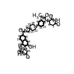 Cn1c(=O)n(C2CCC(=O)NC2=O)c2ccc(N3CCC4(CC3)CN(C(=O)c3ccc5c(F)c(N6CC(=O)NS6(=O)=O)c(O)cc5c3)C4)cc21